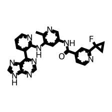 Cc1ncc(NC(=O)c2ccnc(C3(F)CC3)c2)cc1Nc1ncccc1-c1ncnc2[nH]cnc12